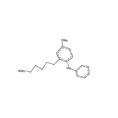 CCCCCCCCCCCCCCCc1cc(OC)ccc1Nc1ccccc1